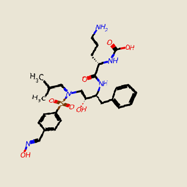 CC(C)CN(C[C@@H](O)[C@H](Cc1ccccc1)NC(=O)[C@H](CCCN)NC(=O)O)S(=O)(=O)c1ccc(/C=N/O)cc1